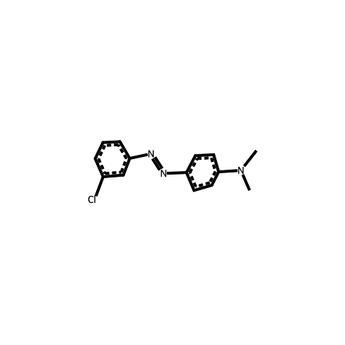 CN(C)c1ccc(N=Nc2cccc(Cl)c2)cc1